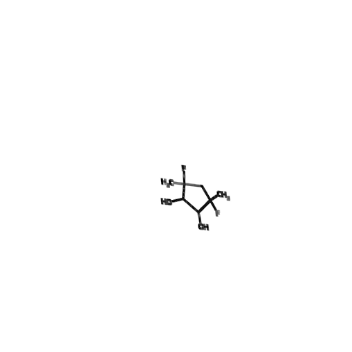 CC1(F)CC(C)(F)C(O)C1O